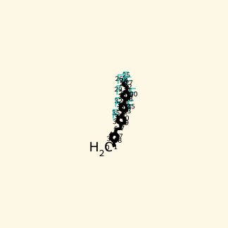 C=Cc1ccc(CCc2ccc(-c3cc(F)c(-c4cc(F)c(/C=C/C(F)(F)F)c(F)c4)c(F)c3)c(F)c2)cc1